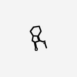 CSC1=C2CCCCC2CC1=O